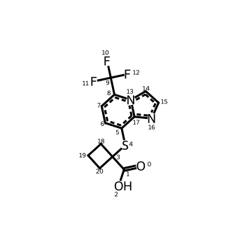 O=C(O)C1(Sc2ccc(C(F)(F)F)n3ccnc23)CCC1